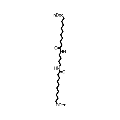 CCCCCCCCCCCCCCCCCCCC(=O)NCCCCNC(=O)CCCCCCCCCCCCCCCCCCC